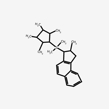 CC1Cc2c(ccc3ccccc23)C1S(C)(C)C1C(C)C(C)C(C)C1C